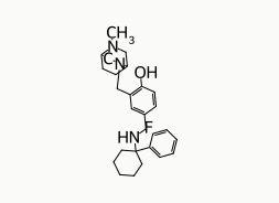 CN1CC2CCC1CN2Cc1cc(CNC2(c3ccccc3F)CCCCC2)ccc1O